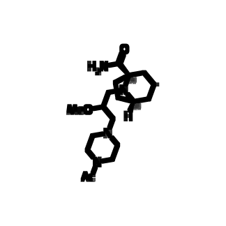 COC(CN1CCN(C(C)=O)CC1)CN1[C@@H]2C[CH]C[C@@]1(C(N)=O)CC2